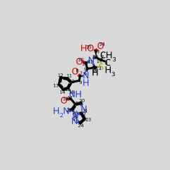 CC1(C)S[C@@H]2C(NC(=O)Cc3ccccc3NC(=O)c3cnc4ccnn4c3N)C(=O)N2[C@H]1C(=O)O